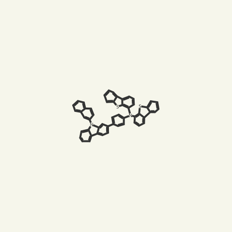 c1ccc2cc(-n3c4ccccc4c4ccc(-c5ccc(N(c6cccc7c6sc6ccccc67)c6cccc7c6sc6ccccc67)cc5)cc43)ccc2c1